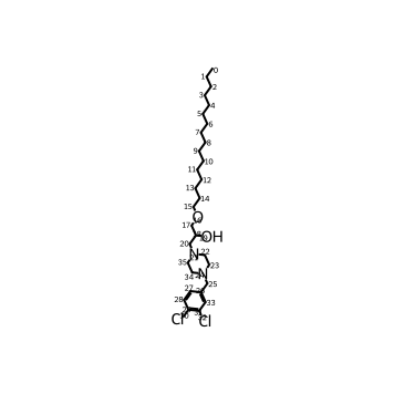 CCCCCCCCCCCCCCCCOCC(O)CN1CCN(Cc2ccc(Cl)c(Cl)c2)CC1